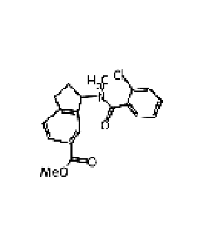 COC(=O)c1ccc2c(c1)C(N(C)C(=O)c1ccccc1Cl)CC2